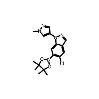 Cn1cc(-n2ncc3cc(Cl)c(B4OC(C)(C)C(C)(C)O4)cc32)cn1